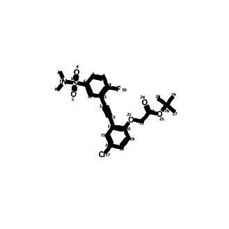 CN(C)S(=O)(=O)c1ccc(F)c(C#Cc2cc(Cl)ccc2OCC(=O)OC(C)(C)C)c1